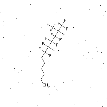 [CH2]CCCCCC(F)(F)C(F)(F)C(F)(F)C(F)(F)C(F)(C(F)(F)F)C(F)(F)F